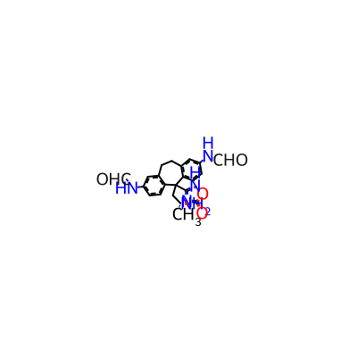 C[C@@H](N)CC1(c2nc(=O)o[nH]2)c2ccc(NC=O)cc2CCc2cc(NC=O)ccc21